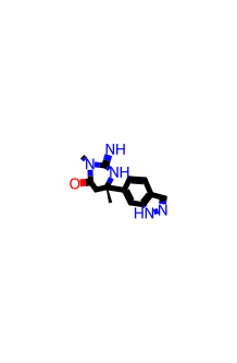 CN1C(=N)N[C@](C)(c2ccc3cn[nH]c3c2)CC1=O